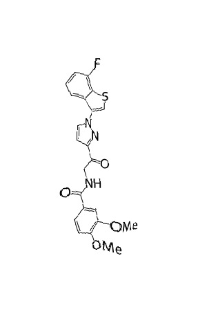 COc1ccc(C(=O)NCC(=O)c2ccn(-c3csc4c(F)cccc34)n2)cc1OC